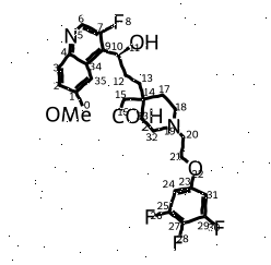 COc1ccc2ncc(F)c([C@@H](O)CCC3(CC(=O)O)CCN(CCOc4cc(F)c(F)c(F)c4)CC3)c2c1